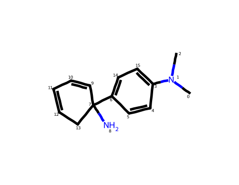 CN(C)c1ccc(C2(N)C=CC=CC2)cc1